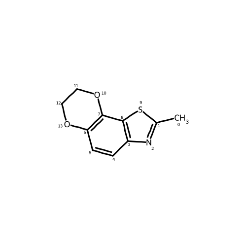 Cc1nc2ccc3c(c2s1)OCCO3